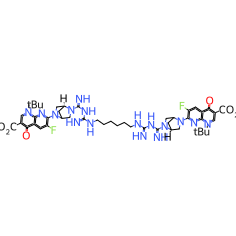 CC(C)(C)n1cc(C(=O)O)c(=O)c2cc(F)c(N3C[C@H]4CC3CN4C(=N)NC(=N)NCCCCCCNC(=N)NC(=N)N3CC4C[C@H]3CN4c3nc4c(cc3F)c(=O)c(C(=O)O)cn4C(C)(C)C)nc21